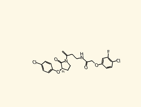 C=C(CCNC(=O)COc1ccc(Cl)c(F)c1)N1CC[C@@H](Oc2ccc(Cl)cc2)C1=O